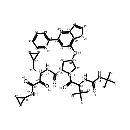 CC(C)(C)NC(=O)N[C@H](C(=O)N1C[C@H](Oc2cc(-c3ccccn3)nc3ccsc23)C[C@H]1C(=O)N[C@@H](CC1CC1)C(=O)C(=O)NC1CC1)C(C)(C)C